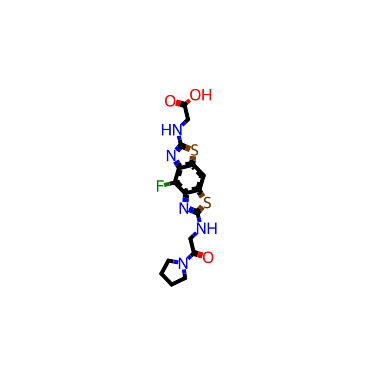 O=C(O)CNc1nc2c(F)c3nc(NCC(=O)N4CCCC4)sc3cc2s1